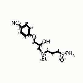 CCN(CCC[S+](C)[O-])CC(O)COc1ccc(C#N)cc1